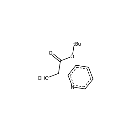 CC(C)(C)OC(=O)CC=O.c1ccncc1